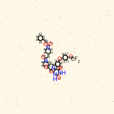 O=C1NC(=O)C(c2ccc(Oc3ccc(OC(F)(F)F)cc3)cc2)(N2CCC3(CC2)CN(C(=O)CC2CCN(C(=O)OCc4ccccc4)CC2)CCO3)C(=O)N1